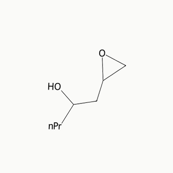 CCCC(O)CC1CO1